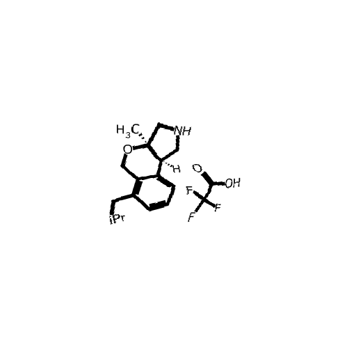 CC(C)Cc1cccc2c1CO[C@@]1(C)CNC[C@@H]21.O=C(O)C(F)(F)F